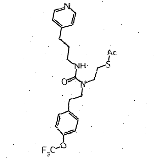 CC(=O)SCCN(CCc1ccc(OC(F)(F)F)cc1)C(=O)NCCCc1ccncc1